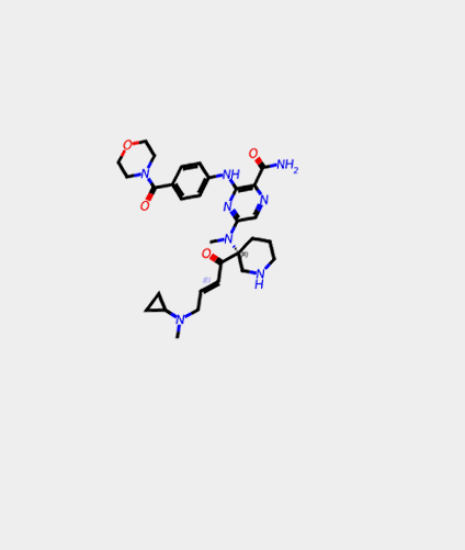 CN(C/C=C/C(=O)[C@@]1(N(C)c2cnc(C(N)=O)c(Nc3ccc(C(=O)N4CCOCC4)cc3)n2)CCCNC1)C1CC1